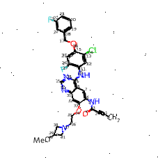 CC#CC(=O)Nc1cc2c(Nc3cc(Cl)c(OCc4cccc(F)c4)cc3F)ncnc2cc1OCCN1CC(OC)C1